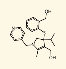 CC1=C(CO)C(Sc2ccccc2CO)(C(C)C)CN1Cc1ccncc1